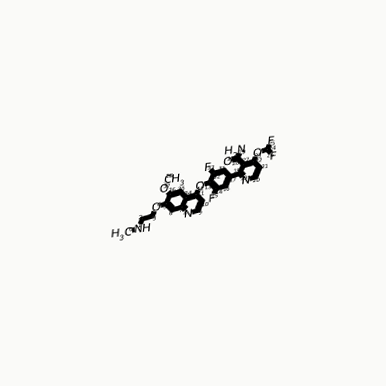 CNCCOc1cc2nccc(Oc3c(F)cc(-c4nccc(OC(F)F)c4C(N)=O)cc3F)c2cc1OC